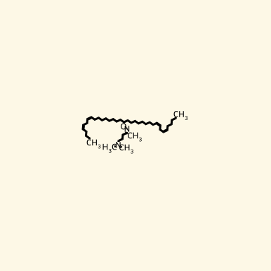 CCCC/C=C\C/C=C\CCCCCCCCC(CCCCCCCC/C=C\C/C=C\CCCCC)ON=C(C)CCCN(C)C